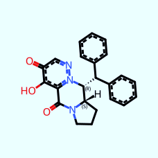 O=C1c2c(O)c(=O)cnn2[C@H](C(c2ccccc2)c2ccccc2)[C@@H]2CCCN12